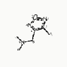 Cc1nonc1CN(C)C